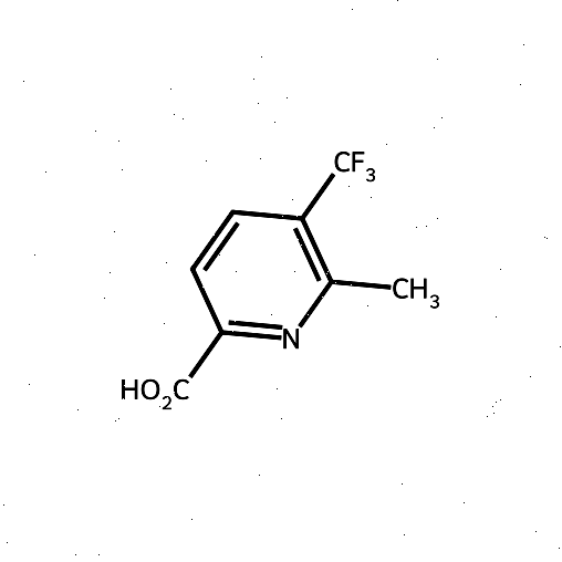 Cc1nc(C(=O)O)ccc1C(F)(F)F